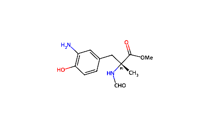 COC(=O)[C@@](C)(Cc1ccc(O)c(N)c1)NC=O